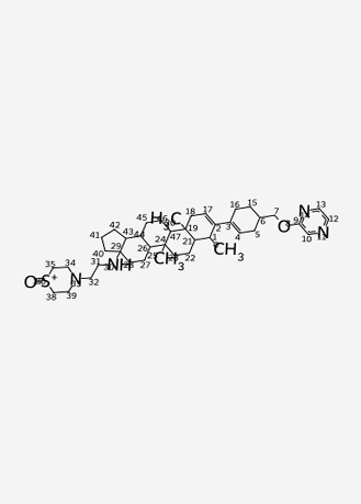 CC1C(C2=CCC(COc3cnccn3)CC2)=CCC2(C)C1CCC1(C)C3CCC4(NCCN5CC[S+]([O-])CC5)CCCC4C3CCC21